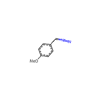 COc1ccc(C=[N+]=[N-])cc1